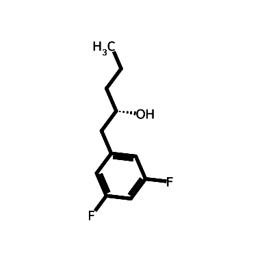 CCC[C@H](O)Cc1cc(F)cc(F)c1